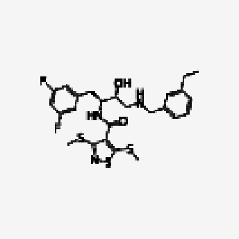 CCc1cccc(CNC[C@H](O)[C@H](Cc2cc(F)cc(F)c2)NC(=O)c2c(SC)nsc2SC)c1